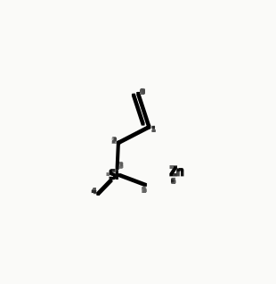 C=CC[Si](C)C.[Zn]